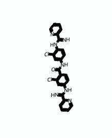 N=C(Nc1ccc(C(=O)Nc2ccc(NC(=N)c3ccccn3)c(Cl)c2)c(Cl)c1)c1ccccn1